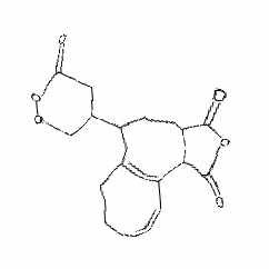 O=C1CC(C2CC3C(=O)OC(=O)C3C3=C2CCC=C3)COO1